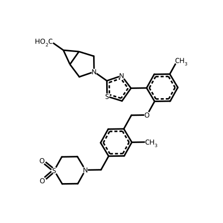 Cc1ccc(OCc2ccc(CN3CCS(=O)(=O)CC3)cc2C)c(-c2csc(N3CC4C(C3)C4C(=O)O)n2)c1